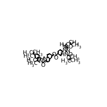 CC(C)(C)CN(Cc1ccc(C(C)(C)C)cc1)C(=O)c1ccc2cc(OC(=O)c3ccc(N/C(=N\C(=O)OC(C)(C)C)NC(=O)OC(C)(C)C)cc3)ccc2n1